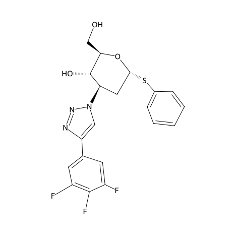 OC[C@H]1O[C@H](Sc2ccccc2)C[C@@H](n2cc(-c3cc(F)c(F)c(F)c3)nn2)[C@@H]1O